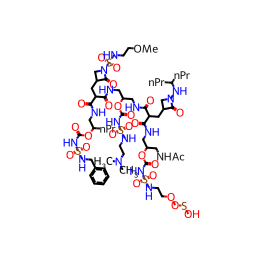 CCCC(CCC)NN1CC(CC(C(=O)NCC(CNC(C)=O)OC(=O)NS(=O)(=O)NCCOOSO)C(=O)NCC(CNC(=O)C(CC2CN(S(=O)(=O)NCCOC)C2=O)C(=O)NCC(CCC)OC(=O)NS(=O)(=O)NCc2ccccc2)OC(=O)NS(=O)(=O)NCCN(C)C)C1=O